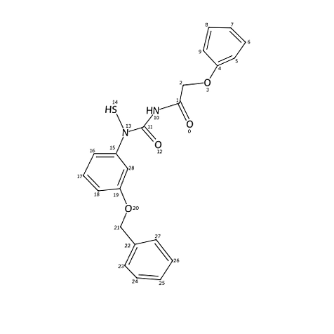 O=C(COc1ccccc1)NC(=O)N(S)c1cccc(OCc2ccccc2)c1